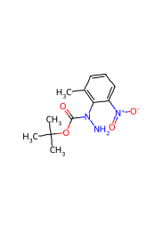 Cc1cccc([N+](=O)[O-])c1N(N)C(=O)OC(C)(C)C